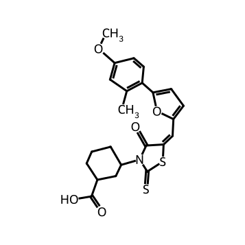 COc1ccc(-c2ccc(C=C3SC(=S)N(C4CCCC(C(=O)O)C4)C3=O)o2)c(C)c1